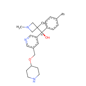 CC(C)c1ccc([C@](O)(c2cncc(COC3CCNCC3)c2)C2(C)CN(C)C2)cc1